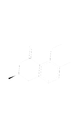 COc1c(C)ccc2c1C(=O)O[C@H](C)[C@H]2C